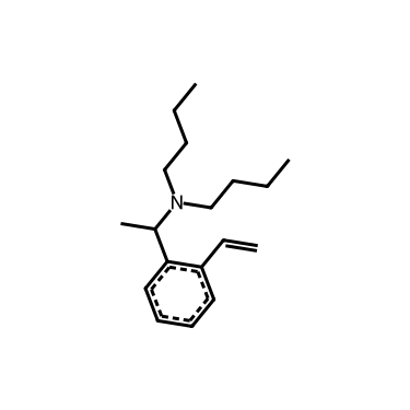 C=Cc1ccccc1C(C)N(CCCC)CCCC